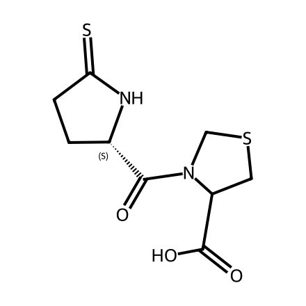 O=C(O)C1CSCN1C(=O)[C@@H]1CCC(=S)N1